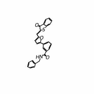 O=C(NCc1ccccc1)c1cccc(-c2ccc(C=C3Sc4ccccc4C3=O)o2)c1